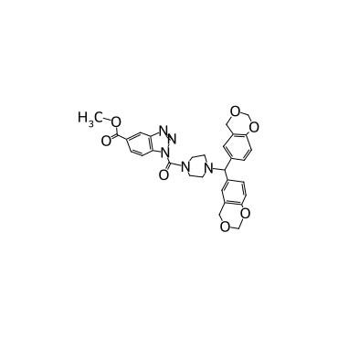 COC(=O)c1ccc2c(c1)nnn2C(=O)N1CCN(C(c2ccc3c(c2)COCO3)c2ccc3c(c2)COCO3)CC1